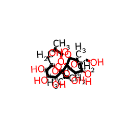 C=C(C)C(=O)OC(C(=O)C(=C)C)(C(=O)C(=C)C)[C@@]1(O[C@H]2O[C@H](CO)[C@@H](O)[C@H](O)[C@H]2O)O[C@H](CO)[C@@H](O)[C@@H]1O